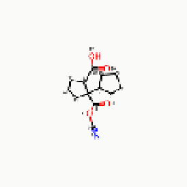 N#COC(=O)C1(C2CCCC2)CCCC1C(=O)O